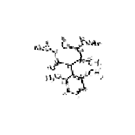 COCC(=O)C(c1c(C)cccc1C)[C@H](C)C(=O)OC